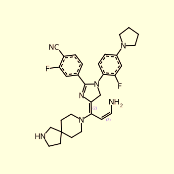 N#Cc1ccc(C2=N/C(=C(/C=C\N)N3CCC4(CCNC4)CC3)CN2c2ccc(N3CCCC3)cc2F)cc1F